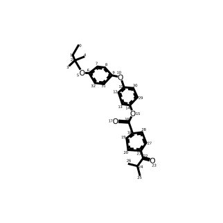 CCC(C)(C)Oc1ccc(Oc2ccc(OC(=O)c3ccc(C(=O)C(C)C)cc3)cc2)cc1